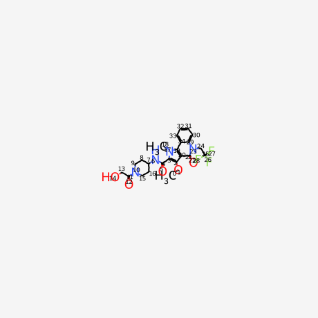 COc1c(C(=O)NC2CCN(C(=O)CO)CC2)n(C)c2c1c(=O)n(CC(F)(F)F)c1ccccc21